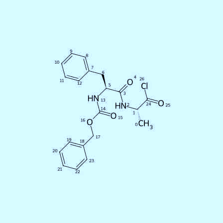 C[C@H](NC(=O)[C@H](Cc1ccccc1)NC(=O)OCc1ccccc1)C(=O)Cl